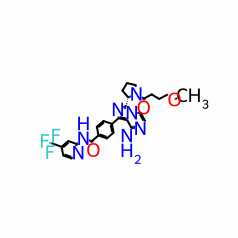 COCCCC(=O)N1CCC[C@H]1c1nc(-c2ccc(C(=O)Nc3cc(C(F)(F)F)ccn3)cc2)c2c(N)nccn12